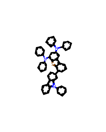 c1ccc(N(c2ccccc2)c2cc(N(c3ccccc3)c3ccccc3)c3sc4c(-c5ccc6c7ccccc7n(-c7ccccc7)c6c5)cccc4c3c2)cc1